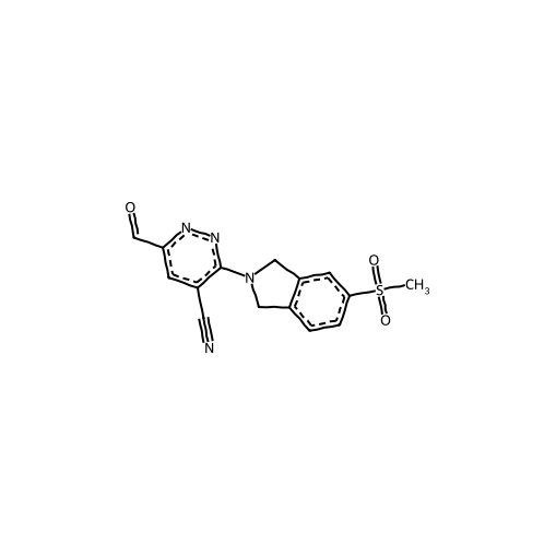 CS(=O)(=O)c1ccc2c(c1)CN(c1nnc(C=O)cc1C#N)C2